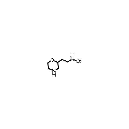 CCNCCC1CNCCO1